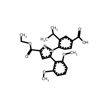 CCOC(=O)c1cc(-c2c(OC)cccc2OC)n(-c2ccc(C(=O)O)cc2C(C)C)n1